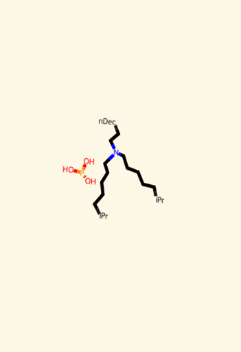 CCCCCCCCCCCCN(CCCCCC(C)C)CCCCCC(C)C.OP(O)O